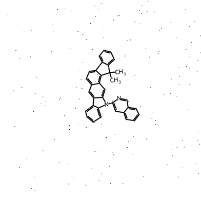 CC1(C)c2ccccc2-c2ccc3cc4c5ccccc5n(-c5cc6ccccc6cn5)c4cc3c21